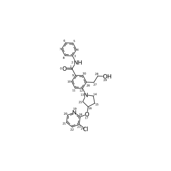 O=C(Nc1ccccc1)c1ccc(N2CCC(Oc3ncccc3Cl)C2)c(CCO)c1